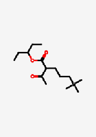 CCC(CC)OC(=O)C(CCC[Si](C)(C)C)C(C)=O